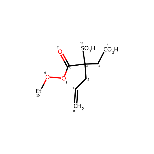 C=CCC(CC(=O)O)(C(=O)OOCC)S(=O)(=O)O